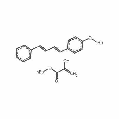 C=C(O)C(=O)OCCCC.CC(C)(C)Oc1ccc(C=CC=Cc2ccccc2)cc1